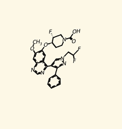 COc1cc2ncnc(-c3cn(CC(F)F)nc3-c3ccccc3)c2cc1O[C@@H]1CCN(C(=O)O)C[C@H]1F